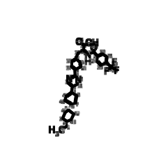 CC[C@H]1CC[C@H](c2ccc(-c3cnc(-c4ccc(C[C@H](NC(=O)c5ccc(C(F)(F)F)cc5)C(=O)O)cc4)nc3)cc2)CC1